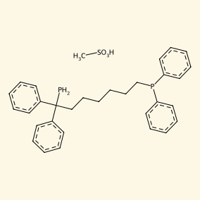 CS(=O)(=O)O.PC(CCCCCCP(c1ccccc1)c1ccccc1)(c1ccccc1)c1ccccc1